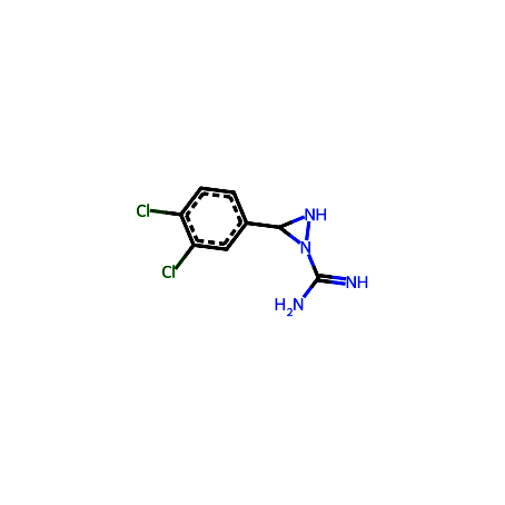 N=C(N)N1NC1c1ccc(Cl)c(Cl)c1